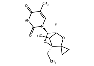 CC[C@@]12O[C@@H](n3cc(C)c(=O)[nH]c3=O)[C@@H](OC13CC3)C2O